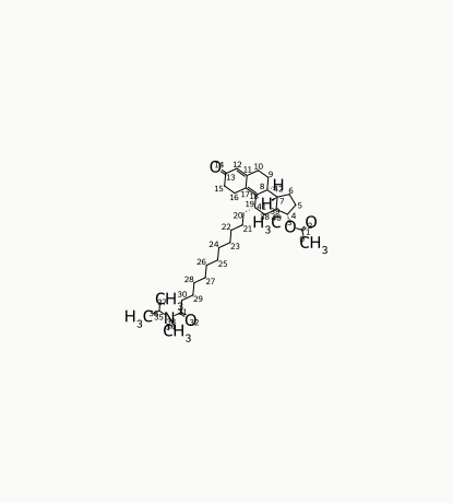 CC(=O)O[C@H]1CC[C@H]2[C@@H]3CCC4=CC(=O)CCC4=C3[C@@H](CCCCCCCCCCCC(=O)N(C)C(C)C)C[C@]12C